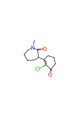 CN1CCCCC(C2=C(Cl)C(=O)CCC2)C1=O